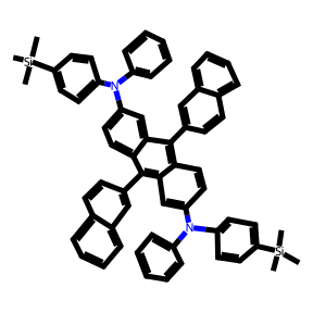 C[Si](C)(C)c1ccc(N(c2ccccc2)c2ccc3c(-c4ccc5ccccc5c4)c4cc(N(c5ccccc5)c5ccc([Si](C)(C)C)cc5)ccc4c(-c4ccc5ccccc5c4)c3c2)cc1